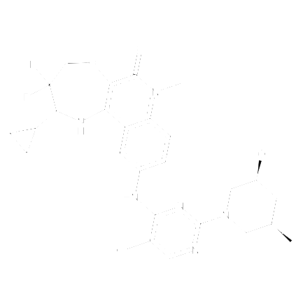 C[C@@H]1C[C@H](O)CN(c2ncc(Cl)c(Nc3ccc4c(c3)c3c(c(=O)n4C)OCC(F)(F)C(C4CC4)N3)n2)C1